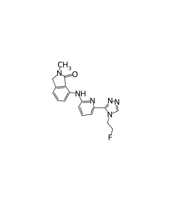 CN1Cc2cccc(Nc3cccc(-c4nncn4CCF)n3)c2C1=O